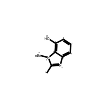 CCCCn1c(C)nc2cccc(O)c21